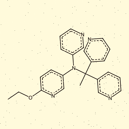 CCOc1ccc(N(c2cccnc2)C(C)(c2cccnc2)c2cccnc2)cn1